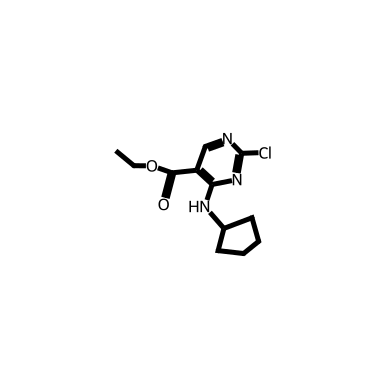 CCOC(=O)c1cnc(Cl)nc1NC1CCCC1